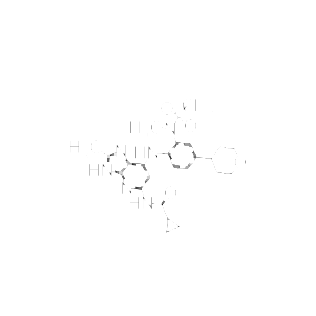 Cc1nc2c(Nc3ccc(C4CCOCC4)cc3N(C)S(C)(=O)=O)cc(NC(=O)C3CC3)nc2[nH]1